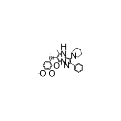 COc1ccc([C@H](C)c2c(C)[nH]c3c(N4CCCCC4)c(-c4ccccc4)nn3c2=O)cc1OC